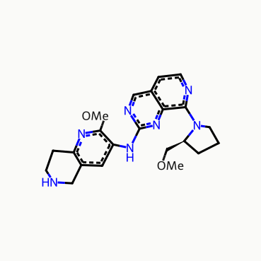 COC[C@@H]1CCCN1c1nccc2cnc(Nc3cc4c(nc3OC)CCNC4)nc12